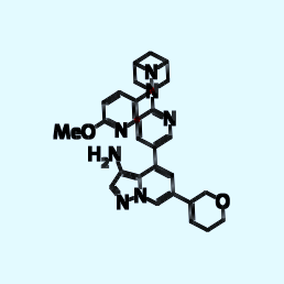 COc1ccc(CN2C3CC2CN(c2ccc(-c4cc(C5=CCCOC5)cn5ncc(N)c45)cn2)C3)cn1